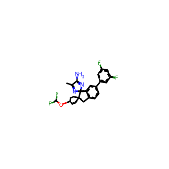 CC1=NC2(N=C1N)c1cc(-c3cc(F)cc(F)c3)ccc1CC21CCC(OC(F)F)CC1